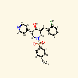 O=C1C(=Cc2ccccc2F)CN(S(=O)(=O)c2ccc([N+](=O)[O-])cc2)CC1c1ccncc1